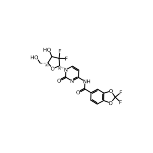 O=C(Nc1ccn([C@@H]2O[C@H](CO)C(O)C2(F)F)c(=O)n1)c1ccc2c(c1)OC(F)(F)O2